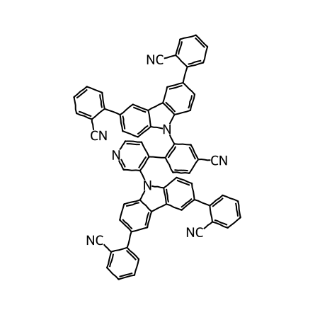 N#Cc1ccc(-c2ccncc2-n2c3ccc(-c4ccccc4C#N)cc3c3cc(-c4ccccc4C#N)ccc32)c(-n2c3ccc(-c4ccccc4C#N)cc3c3cc(-c4ccccc4C#N)ccc32)c1